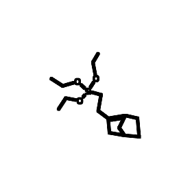 CCO[Si](CCC1=C2CCC(C2)C1)(OCC)OCC